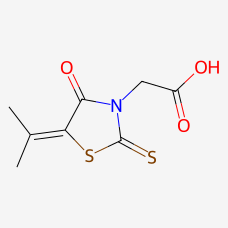 CC(C)=C1SC(=S)N(CC(=O)O)C1=O